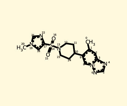 Cc1cc2ncnn2cc1C1CCN(S(=O)(=O)c2cn(C)cn2)CC1